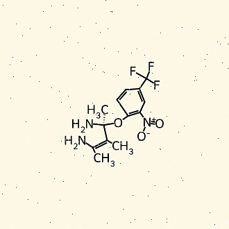 C/C(N)=C(\C)[C@@](C)(N)Oc1ccc(C(F)(F)F)cc1[N+](=O)[O-]